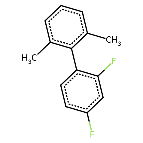 Cc1cccc(C)c1-c1ccc(F)cc1F